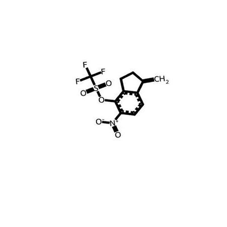 C=C1CCc2c1ccc([N+](=O)[O-])c2OS(=O)(=O)C(F)(F)F